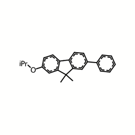 CC(C)Oc1ccc2c(c1)C(C)(C)c1cc(-c3ccccc3)ccc1-2